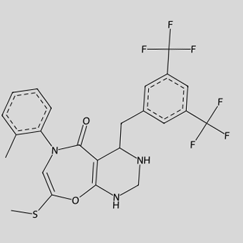 CSC1=CN(c2ccccc2C)C(=O)C2=C(NCNC2Cc2cc(C(F)(F)F)cc(C(F)(F)F)c2)O1